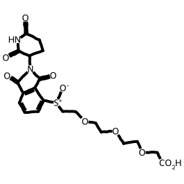 O=C(O)COCCOCCOCC[S+]([O-])c1cccc2c1C(=O)N(C1CCC(=O)NC1=O)C2=O